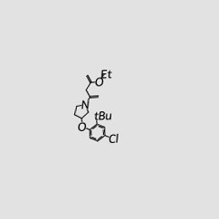 C=C(CC(=C)N1CCC(Oc2ccc(Cl)cc2C(C)(C)C)C1)OCC